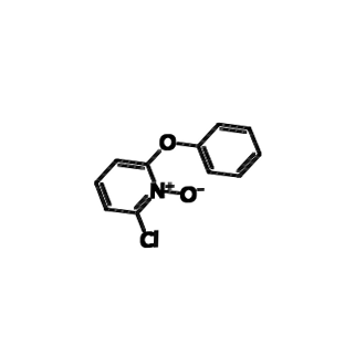 [O-][n+]1c(Cl)cccc1Oc1ccccc1